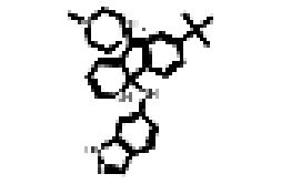 CN1CCN(c2cc(C(C)(C)C)ccc2C2(Nc3ccc4cn[nH]c4c3)NC=CC=C2C(N)=O)CC1